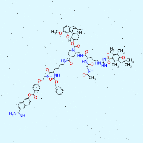 COc1ccc2c3c1O[C@H]1C(OC(=O)N4CCC(C(=O)NCCCCC(NC(=O)OCc5ccccc5)C(=O)NCCOc5ccc(C(=O)Oc6ccc7cc(C(=N)N)ccc7c6)cc5)CC4CNC(=O)[C@@H](CCCNC(=N)NS(=O)(=O)c4c(C)c(C)c5c(c4C)CC(C)(C)O5)NC(=O)CNC(C)=O)=CC[C@H]4[C@H](CCC[C@]314)C2